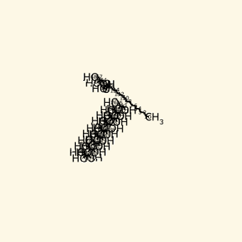 CCCCCCCCCCCCCCCCCC(=O)OO.OCC(O)CO.OCC(O)CO.OCC(O)CO.OCC(O)CO.OCC(O)CO.OCC(O)CO.OCC(O)CO.OCC(O)CO.OCC(O)CO.OCC(O)CO